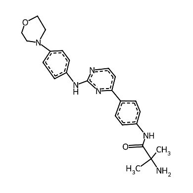 CC(C)(N)C(=O)Nc1ccc(-c2ccnc(Nc3ccc(N4CCOCC4)cc3)n2)cc1